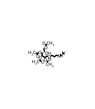 CC(=O)OCC[C@@H](OC(C)=O)[C@H](OC(C)=O)C(OC(C)=O)[C@H](O)OCCCN=[N+]=[N-]